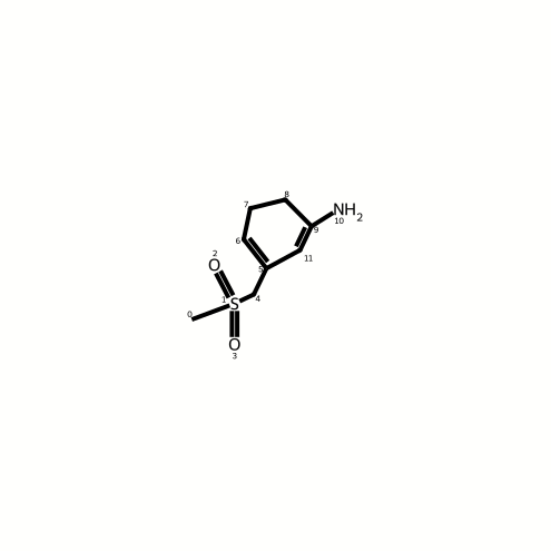 CS(=O)(=O)CC1=CCCC(N)=C1